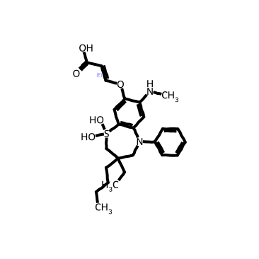 CCCCC1(CC)CN(c2ccccc2)c2cc(NC)c(O/C=C/C(=O)O)cc2S(O)(O)C1